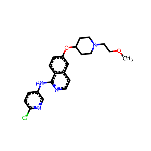 COCCN1CCC(Oc2ccc3c(Nc4ccc(Cl)nc4)nccc3c2)CC1